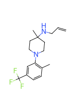 C=CCNC1(C)CCN(c2cc(C(F)(F)F)ccc2C)CC1